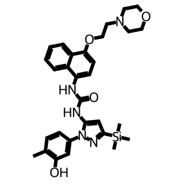 Cc1ccc(-n2nc([Si](C)(C)C)cc2NC(=O)Nc2ccc(OCCN3CCOCC3)c3ccccc23)cc1O